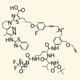 C#CCOCc1cc(NC(=O)[C@H](CCCNC(N)=O)NC(=O)[C@@H](NC(=O)OC(C)(C)C)C(C)C)ccc1C[N+](C)(C)CC#Cc1ccc(OCCCc2sc(N3CCCc4c3nnc(Nc3nc5ccccc5s3)c4C)nc2C(=O)O)c(F)c1.O=C([O-])C(F)(F)F